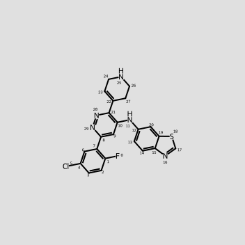 Fc1ccc(Cl)cc1-c1cc(Nc2ccc3ncsc3c2)c(C2=CCNCC2)nn1